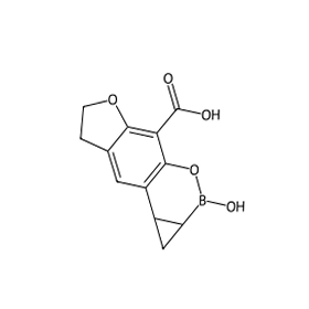 O=C(O)c1c2c(cc3c1OB(O)C1CC31)CCO2